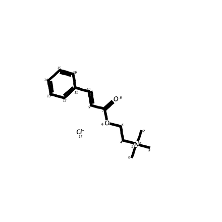 C[N+](C)(C)CCOC(=O)C=Cc1ccccc1.[Cl-]